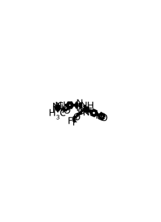 C[C@@H](Cn1cnnn1)Oc1cc(-c2cnc(Nc3cn(C4CCC(N5CCOCC5)CC4)nc3OCCOCC(F)F)nc2)ccc1Cl